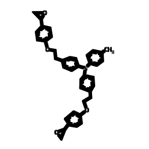 Cc1ccc(N(c2ccc(CCOc3ccc(C4CO4)cc3)cc2)c2ccc(CCOc3ccc(C4CO4)cc3)cc2)cc1